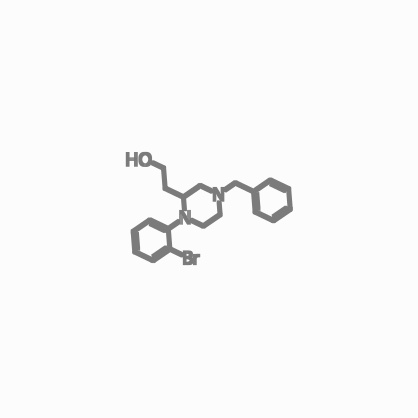 OCCC1CN(Cc2ccccc2)CCN1c1ccccc1Br